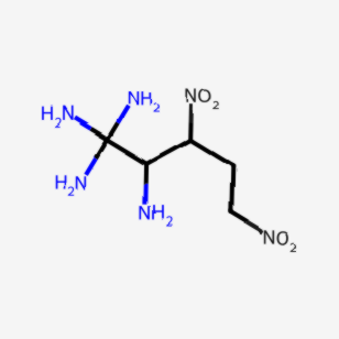 NC(C(CC[N+](=O)[O-])[N+](=O)[O-])C(N)(N)N